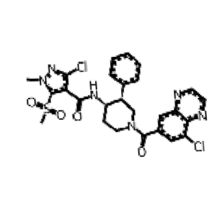 Cn1nc(Cl)c(C(=O)N[C@@H]2CCN(C(=O)c3cc(Cl)c4nccnc4c3)C[C@@H]2c2ccccc2)c1S(C)(=O)=O